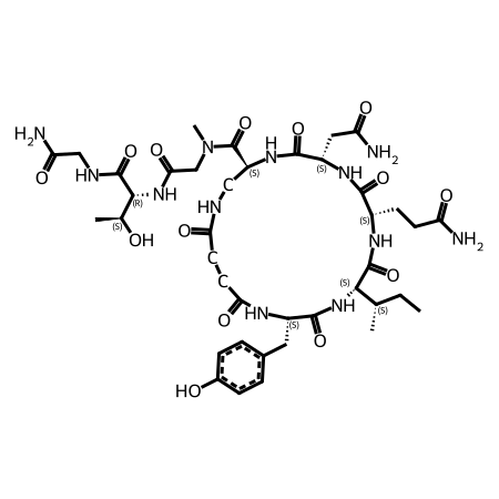 CC[C@H](C)[C@@H]1NC(=O)[C@H](Cc2ccc(O)cc2)NC(=O)CCC(=O)NC[C@@H](C(=O)N(C)CC(=O)N[C@@H](C(=O)NCC(N)=O)[C@H](C)O)NC(=O)[C@H](CC(N)=O)NC(=O)[C@H](CCC(N)=O)NC1=O